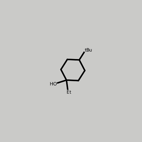 CCC1(O)CCC(C(C)(C)C)CC1